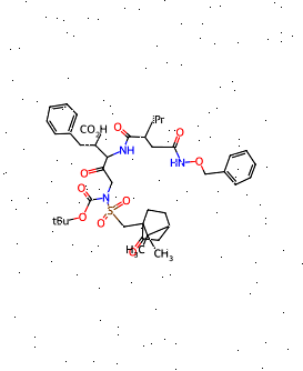 CC(C)C(CC(=O)NOCc1ccccc1)C(=O)NC(C(=O)CN(C(=O)OC(C)(C)C)S(=O)(=O)CC12CCC(CC1=O)C2(C)C)C(Cc1ccccc1)C(=O)O